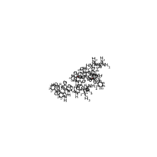 CC(C)C[C@H](NNCC(=O)NC(Cc1c[nH]c2ccc3oc(-c4ccccc4)nc3c12)C(=O)C(=O)[C@@H](N)CC(=O)O)C(=O)N[C@@H](CC(N)=O)C(=O)C(=O)[C@@H](NN1CCC[C@H]1C(=O)C(=O)[C@H](CO)NN[C@@H](CCCNC(N)N)C(=O)C(=O)[C@@H](NC(=O)[C@H](CCCNC(N)N)NN[C@@H](Cc1ccccc1)C(=O)C=O)[C@@H](C)O)C(C)C